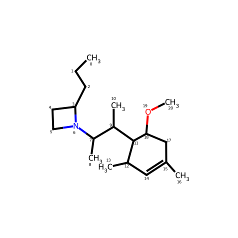 CCCC1CCN1C(C)C(C)C1C(C)C=C(C)CC1OC